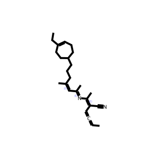 CC=C=C\C(C#N)=C(C)/N=C(C)/C=C(/C)CCCC1CCC=C(CC)CC1